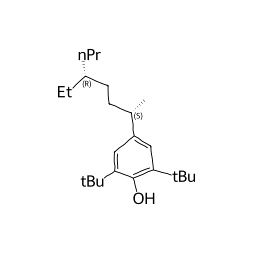 CCC[C@@H](CC)CC[C@H](C)c1cc(C(C)(C)C)c(O)c(C(C)(C)C)c1